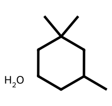 CC1CCCC(C)(C)C1.O